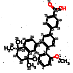 COc1ccccc1-c1ccc(-c2ccc(C(=O)O)cc2)cc1-c1ccc2c(c1)C(C)(C)CCC2(C)C